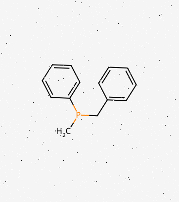 [CH2]P(Cc1ccccc1)c1ccccc1